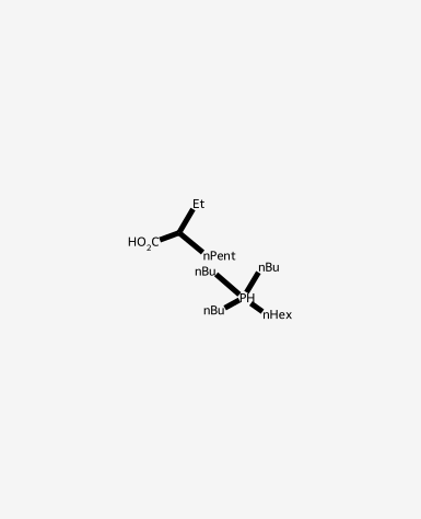 CCCCCC(CC)C(=O)O.CCCCCC[PH](CCCC)(CCCC)CCCC